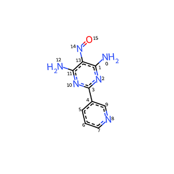 Nc1nc(-c2cccnc2)nc(N)c1N=O